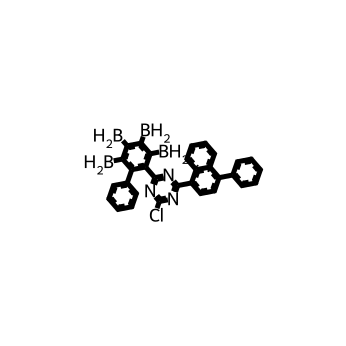 Bc1c(B)c(B)c(-c2nc(Cl)nc(-c3ccc(-c4ccccc4)c4ccccc34)n2)c(-c2ccccc2)c1B